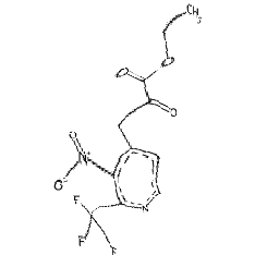 CCOC(=O)C(=O)Cc1ccnc(C(F)(F)F)c1[N+](=O)[O-]